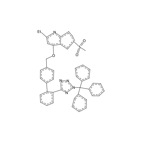 CCc1cc(OCc2ccc(-c3ccccc3-c3nnn(C(c4ccccc4)(c4ccccc4)c4ccccc4)n3)cc2)c2cc(S(C)(=O)=O)ccc2n1